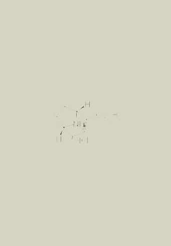 Cl.O=C(O)C1=CC[C@@H]2CC[C@H]1N2